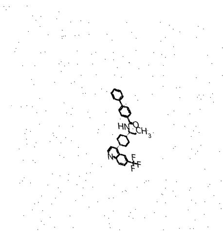 CCC(NC(=O)c1ccc(-c2ccccc2)cc1)[C@H]1CC[C@@H](c2ccnc3ccc(C(F)(F)F)cc32)CC1